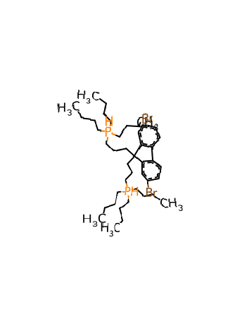 CCCC[PH](CCCC)(CCCC)CCCC1(CCC[PH](CCCC)(CCCC)CCCC)c2cc(Br)ccc2-c2ccc(Br)cc21